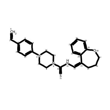 C=Cc1ccc(N2CCN(C(=S)N/C=C3/CCCOc4ccccc43)CC2)cc1